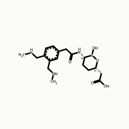 CNCc1ccc(CC(=O)N[C@H]2CC[C@@H](CC(=O)O)OB2O)cc1CNC